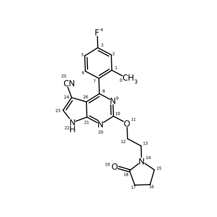 Cc1cc(F)ccc1-c1nc(OCCN2CCCC2=O)nc2[nH]cc(C#N)c12